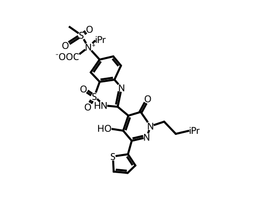 CC(C)CCn1nc(-c2cccs2)c(O)c(C2=Nc3ccc([N+](C(=O)[O-])(C(C)C)S(C)(=O)=O)cc3S(=O)(=O)N2)c1=O